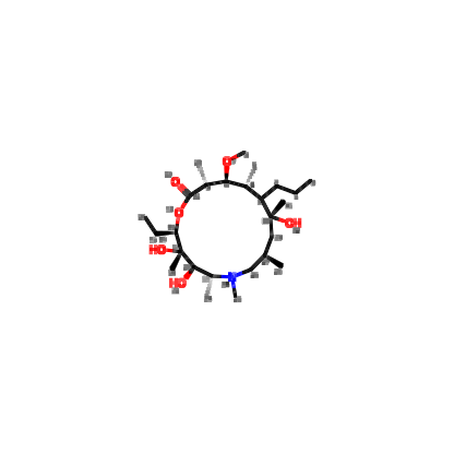 CCCC1[C@@H](C)[C@H](OC)[C@@H](C)C(=O)O[C@H](CC)[C@@](C)(O)[C@H](O)[C@@H](C)N(C)C[C@H](C)C[C@@]1(C)O